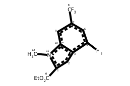 CCOC(=O)c1cc2c(F)cc(C(F)(F)F)cc2n1C